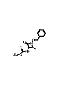 [CH2][C@H]1[C@H](NC(=O)OC(C)(C)C)C(=O)N1OCc1ccccc1